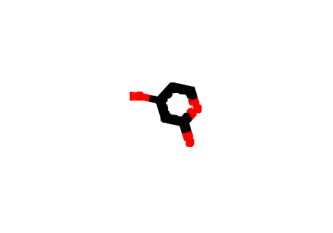 O=c1[c]c(O)cco1